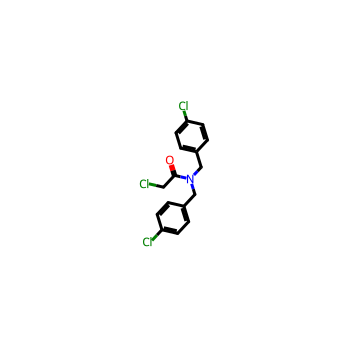 O=C(CCl)N(Cc1ccc(Cl)cc1)Cc1ccc(Cl)cc1